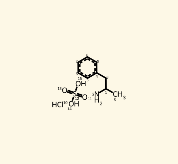 CC(N)Cc1ccccc1.Cl.O=S(=O)(O)O